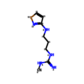 N#CNC(=N)NCCCNc1ccsn1